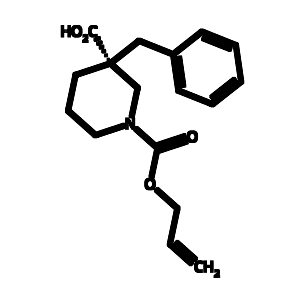 C=CCOC(=O)N1CCC[C@](Cc2ccccc2)(C(=O)O)C1